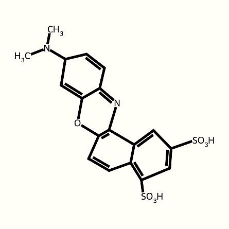 CN(C)C1C=CC2=Nc3c(ccc4c(S(=O)(=O)O)cc(S(=O)(=O)O)cc34)OC2=C1